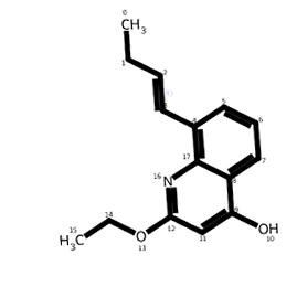 CC/C=C/c1cccc2c(O)cc(OCC)nc12